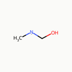 C[N]CO